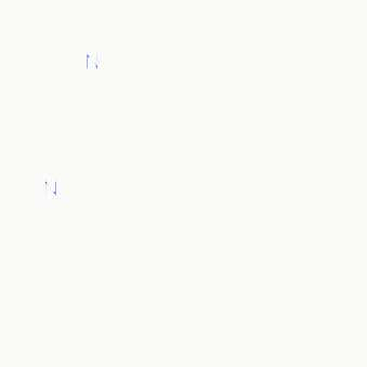 N#Cc1c2cccc1-2.N#Cc1ccccc1